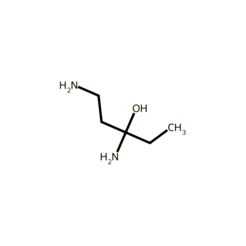 CCC(N)(O)CCN